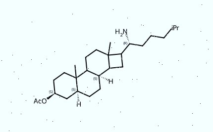 CC(=O)O[C@H]1CCC2(C)C3CCC4(C)C(CC4[C@H](N)CCCC(C)C)[C@H]3CC[C@H]2C1